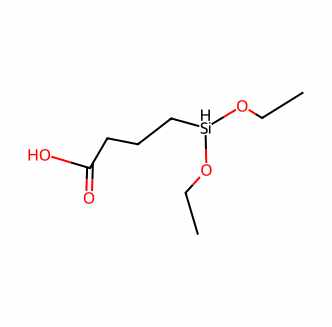 CCO[SiH](CCCC(=O)O)OCC